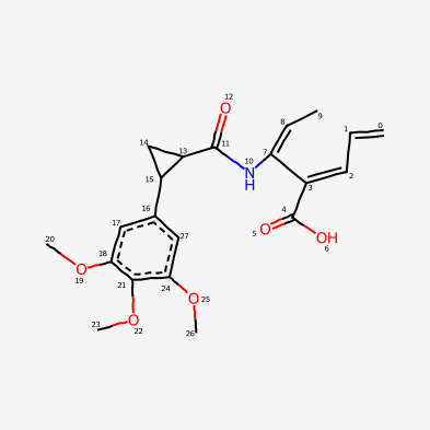 C=C/C=C(C(=O)O)\C(=C/C)NC(=O)C1CC1c1cc(OC)c(OC)c(OC)c1